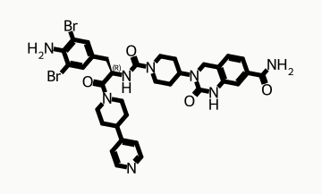 NC(=O)c1ccc2c(c1)NC(=O)N(C1CCN(C(=O)N[C@H](Cc3cc(Br)c(N)c(Br)c3)C(=O)N3CCC(c4ccncc4)CC3)CC1)C2